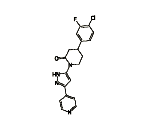 O=C1CC(c2ccc(Cl)c(F)c2)CCN1c1cc(-c2ccncc2)n[nH]1